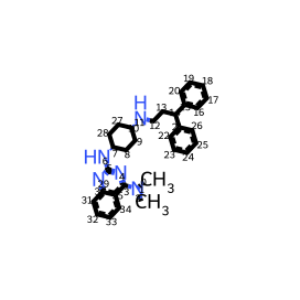 CN(C)c1nc(N[C@H]2CC[C@@H](NCCC(c3ccccc3)c3ccccc3)CC2)nc2ccccc12